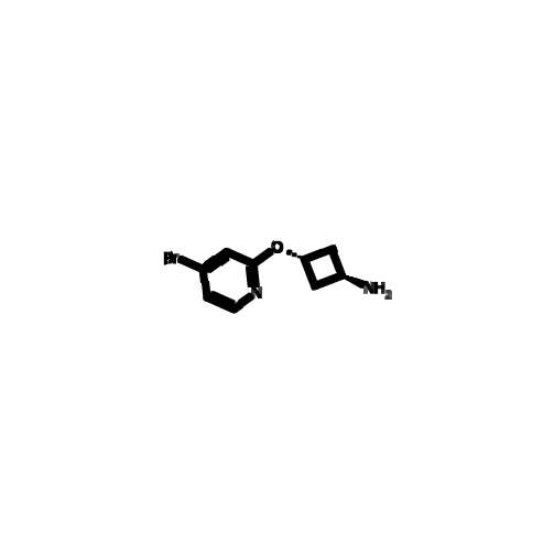 N[C@H]1C[C@H](Oc2cc(Br)ccn2)C1